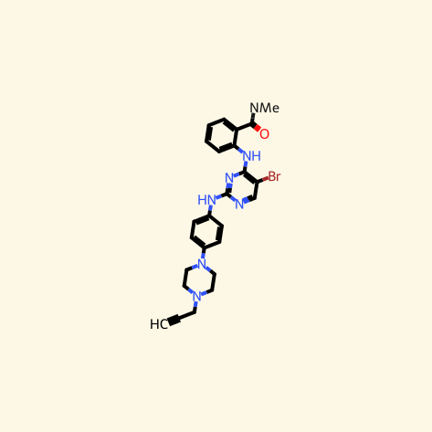 C#CCN1CCN(c2ccc(Nc3ncc(Br)c(Nc4ccccc4C(=O)NC)n3)cc2)CC1